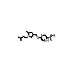 CC(C)CCN1CC(COC2=CNC(N(C)O)C=N2)CC1C